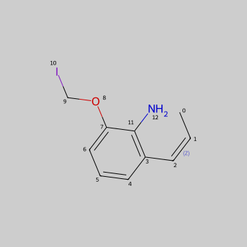 C/C=C\c1cccc(OCI)c1N